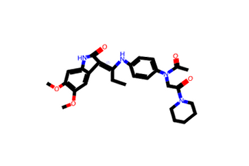 CC/C(Nc1ccc(N(CC(=O)N2CCCCC2)C(C)=O)cc1)=C1/C(=O)Nc2cc(OC)c(OC)cc21